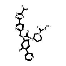 CC(C)(C)OC(=O)N1CCC[C@H](n2c(=O)n(Cc3ccc(-c4nnc(C(F)F)o4)cn3)c3cc(F)c(-c4cccnc4)cc32)C1